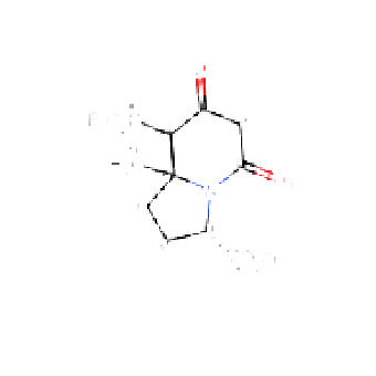 CCOC(=O)C1C(=O)CC(=O)N2[C@H](C(=O)OCC)CCC12C